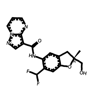 C[C@]1(CO)Cc2cc(NC(=O)c3cnn4cccnc34)c(C(F)F)cc2O1